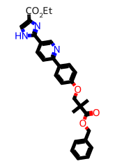 CCOC(=O)c1c[nH]c(-c2ccc(-c3ccc(OCC(C)(C)C(=O)OCc4ccccc4)cc3)nc2)n1